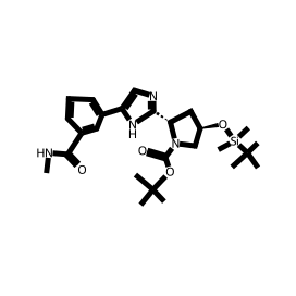 CNC(=O)c1cccc(-c2cnc([C@@H]3C[C@@H](O[Si](C)(C)C(C)(C)C)CN3C(=O)OC(C)(C)C)[nH]2)c1